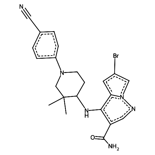 CC1(C)CN(c2ccc(C#N)cc2)CCC1Nc1c(C(N)=O)cnn2cc(Br)cc12